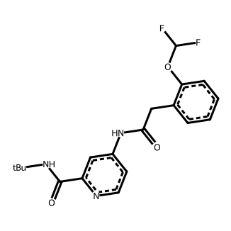 CC(C)(C)NC(=O)c1cc(NC(=O)Cc2ccccc2OC(F)F)ccn1